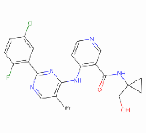 CC(C)c1cnc(-c2cc(Cl)ccc2F)nc1Nc1ccncc1C(=O)NC1(CO)CC1